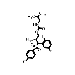 CC(C)CNC(=O)OC[C@@H](C)[C@@H](c1cc(F)ccc1F)S(=O)(=O)c1ccc(Cl)cc1